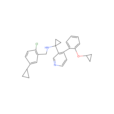 Clc1ccc(C2CC2)cc1CNC1(c2cnccc2-c2ccccc2OC2CC2)CC1